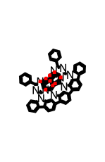 c1ccc(-c2nc(-c3ccccc3)nc(-n3c4ccccc4c4ccc5c6ccc7c8ccc9c%10ccccc%10n(-c%10nc(-c%11ccccc%11)nc(-c%11ccccc%11)n%10)c9c8n(-c8ccccc8)c7c6n(-c6ccccc6)c5c43)n2)cc1